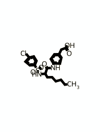 CCCCCCC(NS(=O)(=O)c1ccc(Cl)cc1)C(=O)Nc1ccc(CC(=O)O)cc1